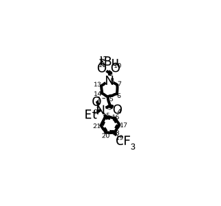 CC[N+]([O-])(C(=O)C1CCN(C(=O)OC(C)(C)C)CC1)c1ccc(C(F)(F)F)cc1